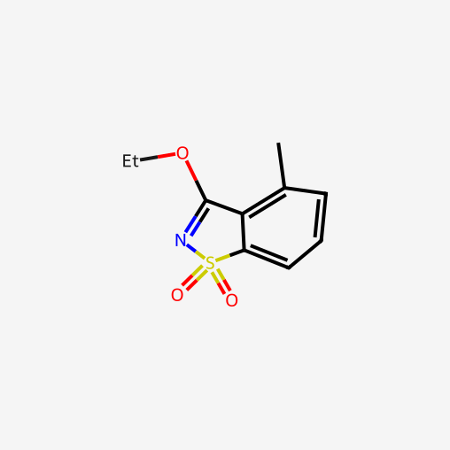 CCOC1=NS(=O)(=O)c2cccc(C)c21